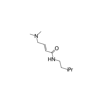 CC(C)CCNC(=O)/C=C/CN(C)C